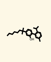 CCCCCCC(C)(C)c1ccc(-c2cc(C)ccc2C(C)C)c(O)c1